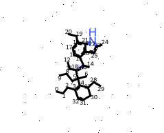 CCCC1=C(C(C)(CCC)/C(CC)=C(\C)c2ccc(CC)c3[nH]c(C)cc23)C(CC)CC=C1